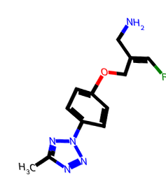 Cc1nnn(-c2ccc(OC/C(=C\F)CN)cc2)n1